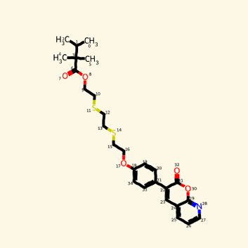 CC(C)C(C)(C)C(=O)OCCSCCSCCOc1ccc(-c2cc3cccnc3oc2=O)cc1